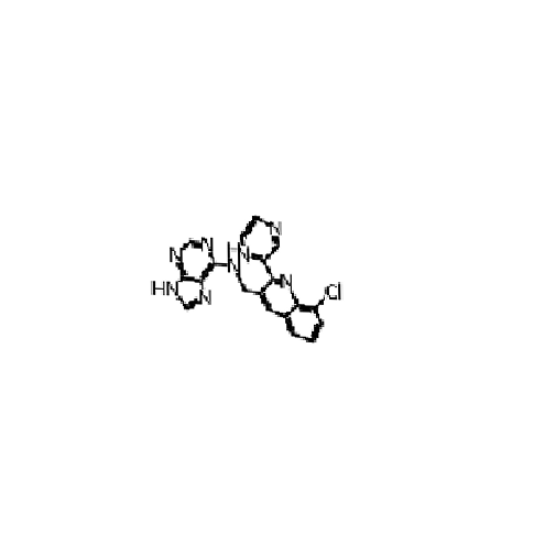 Clc1cccc2cc(CNc3ncnc4[nH]cnc34)c(-c3cnccn3)nc12